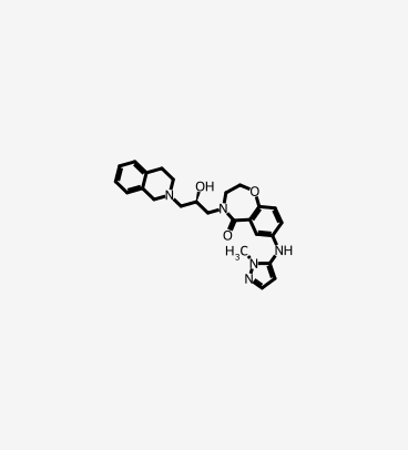 Cn1nccc1Nc1ccc2c(c1)C(=O)N(C[C@H](O)CN1CCc3ccccc3C1)CCO2